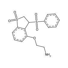 NCCOc1cccc2c1C(S(=O)(=O)c1ccccc1)CS2(=O)=O